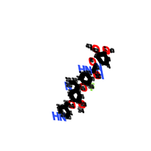 COc1ccc(NC(=O)C(=O)Nc2ccc(Oc3ccnc4cc(OCC5CCNCC5)c(OC)cc34)c(F)c2)cc1OC